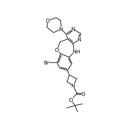 CC(C)(C)OC(=O)N1CC(c2cc(Br)c3c(c2)Nc2ncnc(N4CCOCC4)c2CO3)C1